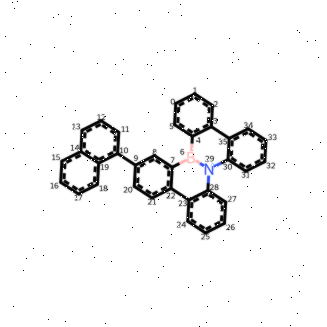 c1ccc2c(c1)B1c3cc(-c4cccc5ccccc45)ccc3-c3ccccc3N1c1ccccc1-2